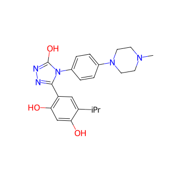 CC(C)c1cc(-c2nnc(O)n2-c2ccc(N3CCN(C)CC3)cc2)c(O)cc1O